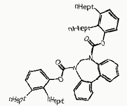 CCCCCCCc1cccc(OC(=O)N2CN(C(=O)Oc3cccc(CCCCCCC)c3CCCCCCC)c3ccccc3-c3ccccc32)c1CCCCCCC